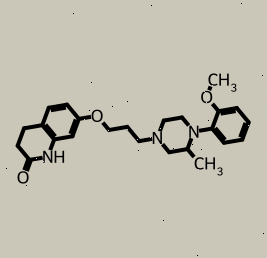 COc1ccccc1N1CCN(CCCOc2ccc3c(c2)NC(=O)CC3)CC1C